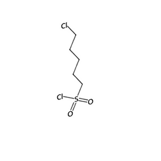 O=S(=O)(Cl)CCCCCCl